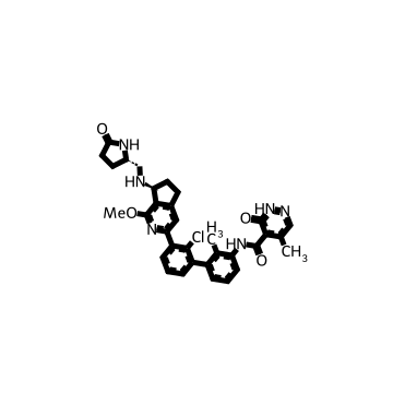 COc1nc(-c2cccc(-c3cccc(NC(=O)c4c(C)cn[nH]c4=O)c3C)c2Cl)cc2c1[C@@H](NC[C@@H]1CCC(=O)N1)CC2